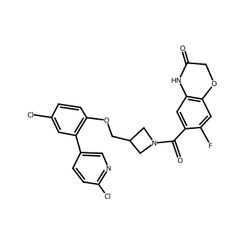 O=C1COc2cc(F)c(C(=O)N3CC(COc4ccc(Cl)cc4-c4ccc(Cl)nc4)C3)cc2N1